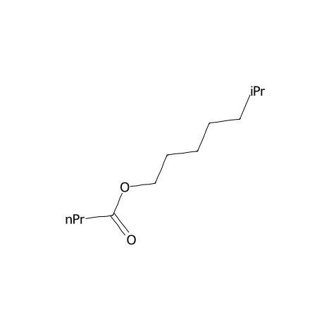 CCCC(=O)OCCCCCC(C)C